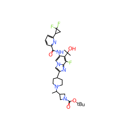 CC(C1CN(C(=O)OC(C)(C)C)C1)N1CCC(c2cn3cc(NC(=O)c4cccc(C5CC5(F)F)n4)c(C(C)(C)O)c(F)c3n2)CC1